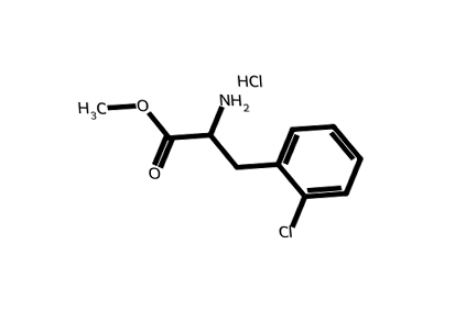 COC(=O)C(N)Cc1ccccc1Cl.Cl